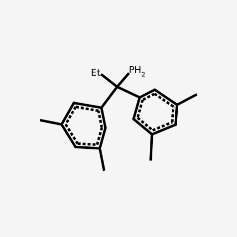 CCC(P)(c1cc(C)cc(C)c1)c1cc(C)cc(C)c1